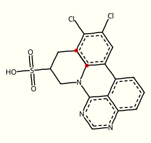 O=S(=O)(O)C1CCCN(c2ncnc3cccc(-c4ccc(Cl)c(Cl)c4)c23)C1